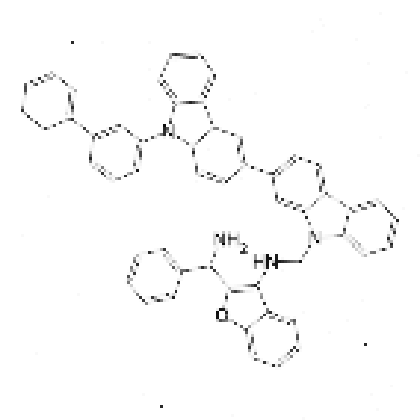 NC(c1ccccc1)c1oc2ccccc2c1NCn1c2ccccc2c2ccc(C3=CC4c5ccccc5N(c5cccc(C6=CC=CCC6)c5)C4C=C3)cc21